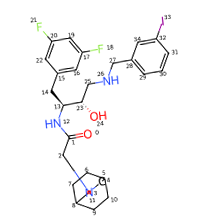 O=C(CN1CC2CCC(CC2)C1)N[C@@H](Cc1cc(F)cc(F)c1)[C@@H](O)CNCc1cccc(I)c1